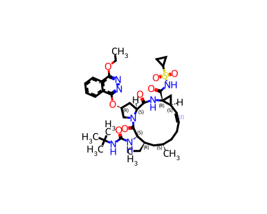 CCOc1nnc(O[C@@H]2C[C@H]3C(=O)N[C@]4(C(=O)NS(=O)(=O)C5CC5)C[C@H]4/C=C\CC[C@H](C)C[C@@H](CC)[C@H](NC(=O)NC(C)(C)C)C(=O)N3C2)c2ccccc12